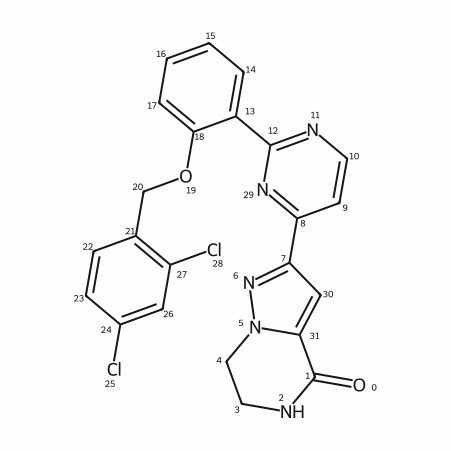 O=C1NCCn2nc(-c3ccnc(-c4ccccc4OCc4ccc(Cl)cc4Cl)n3)cc21